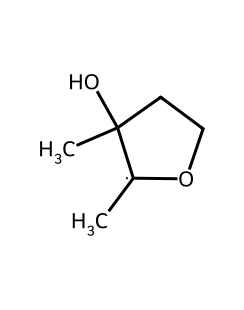 C[C]1OCCC1(C)O